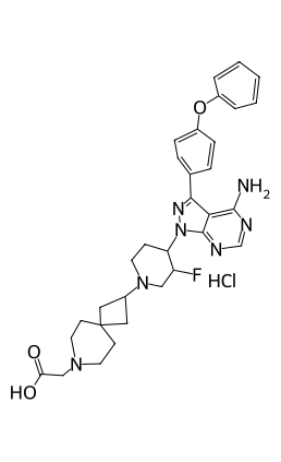 Cl.Nc1ncnc2c1c(-c1ccc(Oc3ccccc3)cc1)nn2C1CCN(C2CC3(CCN(CC(=O)O)CC3)C2)CC1F